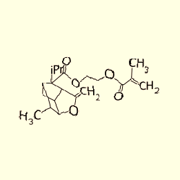 C=C(C)C(=O)OCCOC(=O)C1(C(C)C)C2CC3C(OC(=C)C31)C2C